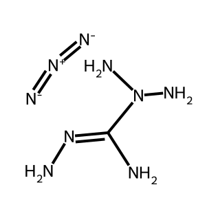 N/N=C(\N)N(N)N.[N-]=[N+]=[N-]